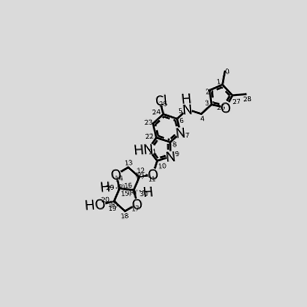 Cc1cc(CNc2nc3nc(O[C@@H]4CO[C@H]5[C@@H]4OC[C@H]5O)[nH]c3cc2Cl)oc1C